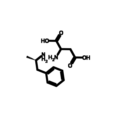 C[C@H](N)Cc1ccccc1.NC(CC(=O)O)C(=O)O